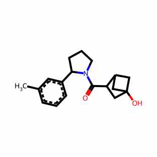 Cc1cccc(C2CCCN2C(=O)C2CC3(O)CC2C3)c1